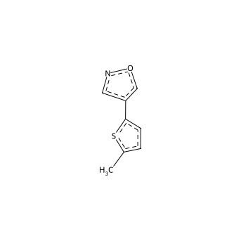 Cc1ccc(-c2cnoc2)s1